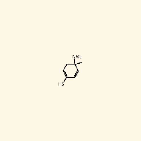 CNC1(C)C=CC(S)=CC1